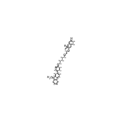 Cn1c2ccncc2c2ccc(-c3ccc(OCCCCCOCCOC(CC4CCNCC4)C(F)(F)F)nc3)cc21